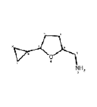 NCC1CCC(C2CC2)O1